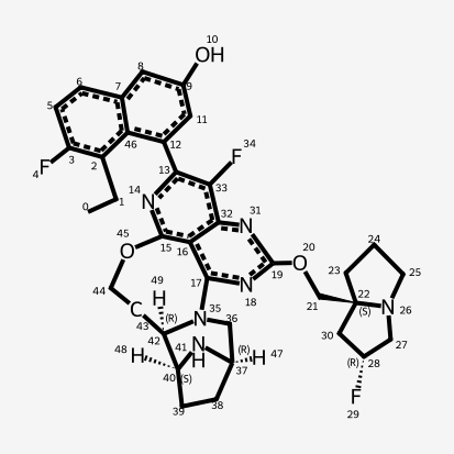 CCc1c(F)ccc2cc(O)cc(-c3nc4c5c(nc(OC[C@@]67CCCN6C[C@H](F)C7)nc5c3F)N3C[C@H]5CC[C@H](N5)[C@H]3CCO4)c12